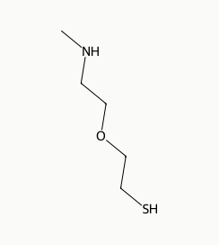 CNCCOCCS